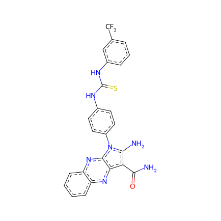 NC(=O)c1c(N)n(-c2ccc(NC(=S)Nc3cccc(C(F)(F)F)c3)cc2)c2nc3ccccc3nc12